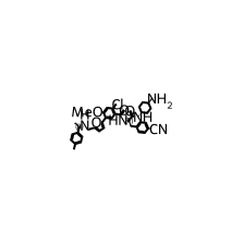 COc1cc(Cl)c(C(=O)N[C@H](Cc2ccc(C#N)cc2)C(=O)N[C@H]2CC[C@H](N)CC2)cc1-c1ccc(CN[C@H](C)c2ccc(C)cc2)o1